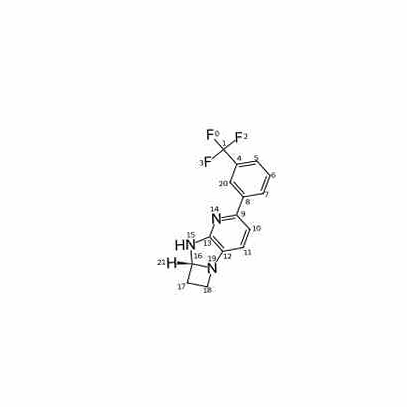 FC(F)(F)c1cccc(-c2ccc3c(n2)N[C@H]2CCN32)c1